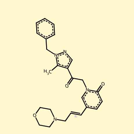 Cc1c(C(=O)Cn2cc(/C=C/CN3CCOCC3)ccc2=O)cnn1Cc1ccccc1